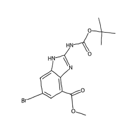 COC(=O)c1cc(Br)cc2[nH]c(NC(=O)OC(C)(C)C)nc12